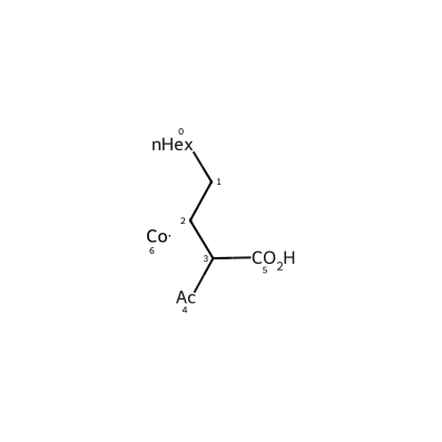 CCCCCCCCC(C(C)=O)C(=O)O.[Co]